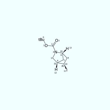 CC(C)(C)OC(=O)N1C[C@@H]2C[C@H]1C[C@H]2I